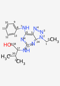 CCn1nnc2c(Nc3ccccc3)nc(NC(CO)C(C)C)nc21